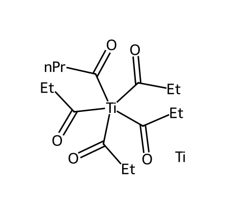 CCC[C](=O)[Ti]([C](=O)CC)([C](=O)CC)([C](=O)CC)[C](=O)CC.[Ti]